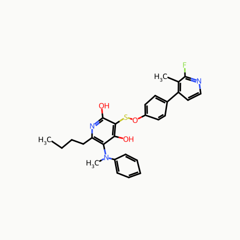 CCCCc1nc(O)c(SOc2ccc(-c3ccnc(F)c3C)cc2)c(O)c1N(C)c1ccccc1